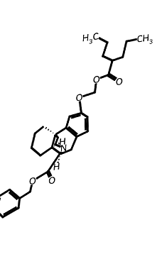 CCCC(CCC)C(=O)OCOc1ccc2c(c1)[C@]13CCCC[C@@H]1[C@H](C2)N(C(=O)OCc1ccccc1)CC3